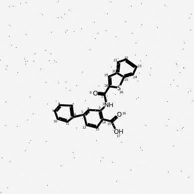 O=C(Nc1cc(-c2ccccc2)ccc1C(=O)O)c1cc2ccccc2s1